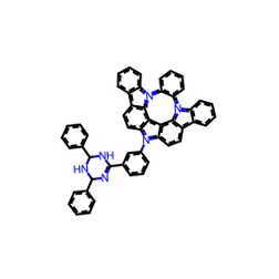 c1ccc(C2N=C(c3cccc(-n4c5ccc6c7ccccc7n7c8ccccc8n8c9ccccc9c9ccc4c(c5c67)c98)c3)NC(c3ccccc3)N2)cc1